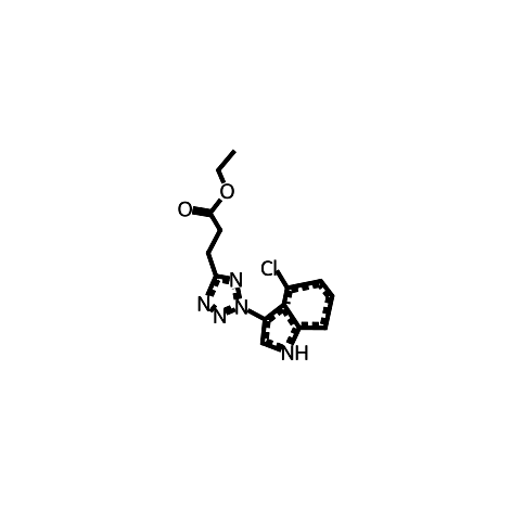 CCOC(=O)CCc1nnn(-c2c[nH]c3cccc(Cl)c23)n1